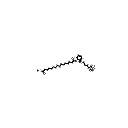 O=C(O)CCCCCCCCCCCCCCC(=O)Nc1ccccc1OCCCCP(=O)(O)O